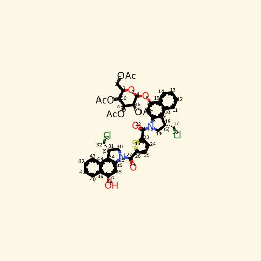 CC(=O)OCC1OC(Oc2cc3c(c4ccccc24)[C@H](CCl)CN3C(=O)c2ccc(C(=O)N3C[C@@H](CCl)c4c3cc(O)c3ccccc43)s2)C(OC(C)=O)C(OC(C)=O)C1OC(C)=O